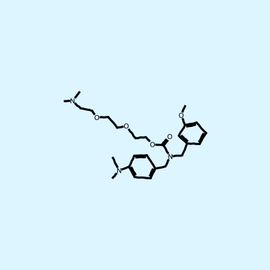 COc1cccc(CN(Cc2ccc(N(C)C)cc2)C(=O)OCCOCCOCCN(C)C)c1